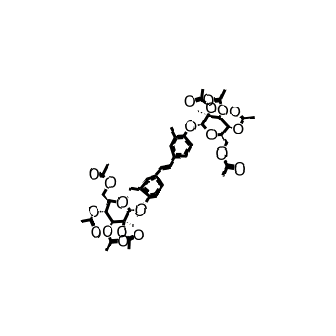 CC(=O)OC[C@H]1O[C@H](Oc2ccc(/C=C/c3ccc(O[C@H]4O[C@H](COC(C)=O)[C@@H](OC(C)=O)[C@H](OC(C)=O)[C@]4(C)OC(C)=O)c(C)c3)cc2C)[C@@](C)(OC(C)=O)[C@@H](OC(C)=O)[C@@H]1OC(C)=O